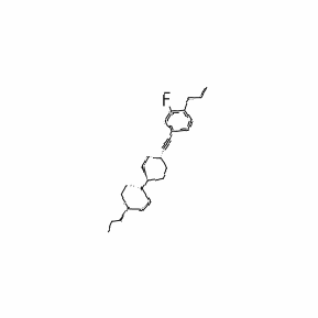 CCCc1ccc(C#C[C@H]2CC[C@H]([C@H]3CC[C@H](CCC)CC3)CC2)cc1F